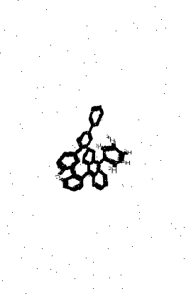 [2H]c1c([2H])c([2H])c(-c2c3ccccc3c(-c3cccc4oc5ccc(-c6ccc(-c7ccccc7)cc6)cc5c34)c3ccccc23)c([2H])c1[2H]